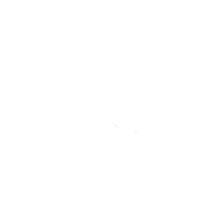 CC(O)N(O)C(CC(=O)O)C(=O)O